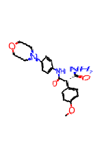 COc1ccc([C@@H](C(N)=O)C(=O)Nc2ccc(N3CCOCC3)cc2)cc1